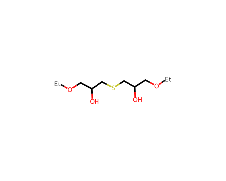 CCOCC(O)CSCC(O)COCC